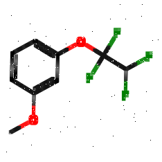 COc1cccc(OC(F)(F)C(F)F)c1